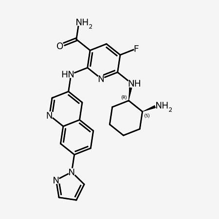 NC(=O)c1cc(F)c(N[C@@H]2CCCC[C@@H]2N)nc1Nc1cnc2cc(-n3cccn3)ccc2c1